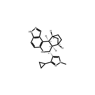 Cn1cc([C@@H]2Nc3ccc4[nH]ncc4c3[C@H]3[C@@H]4CC[C@@H](C4)[C@H]32)c(C2CC2)n1